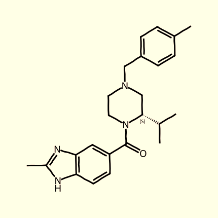 Cc1ccc(CN2CCN(C(=O)c3ccc4[nH]c(C)nc4c3)[C@@H](C(C)C)C2)cc1